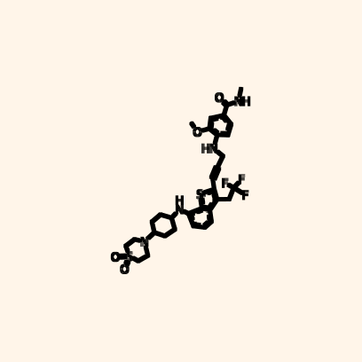 CNC(=O)c1ccc(NCC#Cc2sc3c(NC4CCC(N5CCS(=O)(=O)CC5)CC4)cccc3c2CC(F)(F)F)c(OC)c1